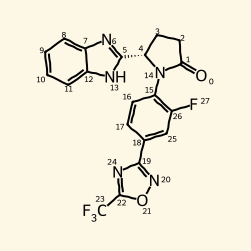 O=C1CC[C@@H](c2nc3ccccc3[nH]2)N1c1ccc(-c2noc(C(F)(F)F)n2)cc1F